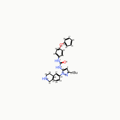 CC(C)(C)c1cc(NC(=O)Nc2ccc(Oc3ccccc3)cc2)n(-c2ccc3c(c2)CCNC3)n1